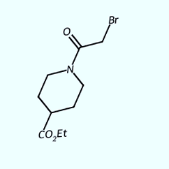 CCOC(=O)C1CCN(C(=O)CBr)CC1